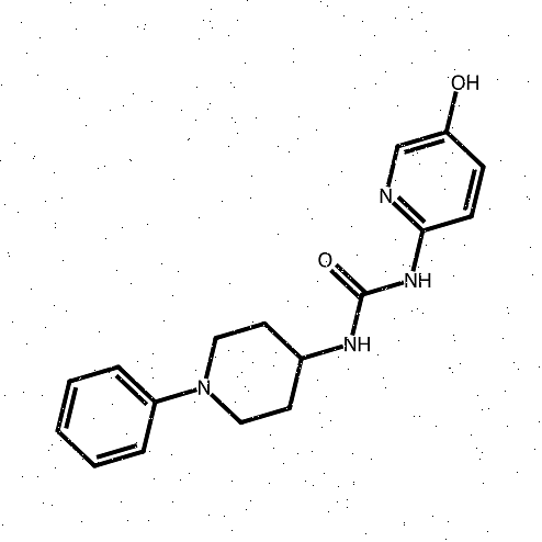 O=C(Nc1ccc(O)cn1)NC1CCN(c2ccccc2)CC1